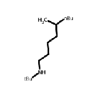 CCCCC(C)CCCCNC(C)(C)C